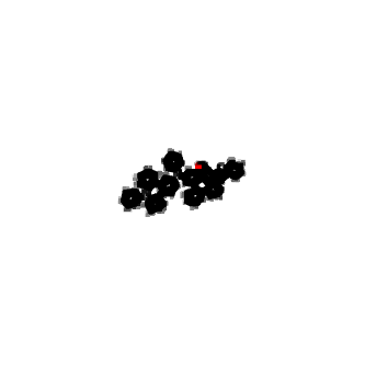 c1ccc(N(c2ccc3c(c2)-c2ccccc2N(c2ccccc2)c2ccccc2-3)c2ccc3c(c2)-c2ccccc2-c2ccccc2C32c3ccccc3-c3c2ccc2c3oc3ccccc32)cc1